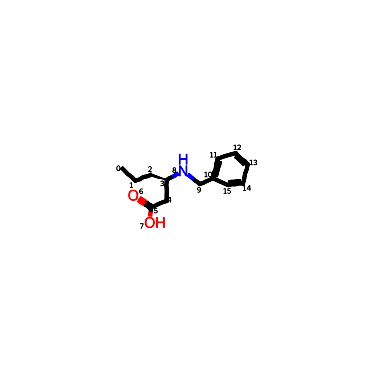 CCC[C@H](CC(=O)O)NCc1ccccc1